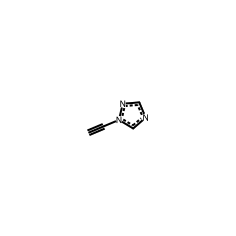 C#Cn1cncn1